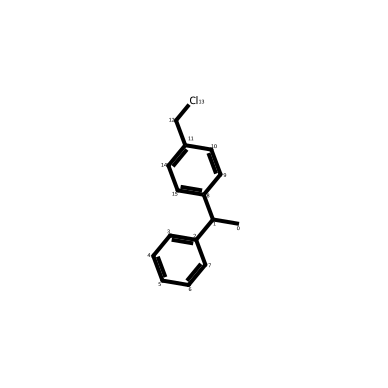 CC(c1ccccc1)c1ccc(CCl)cc1